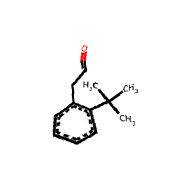 CC(C)(C)c1ccccc1CC=O